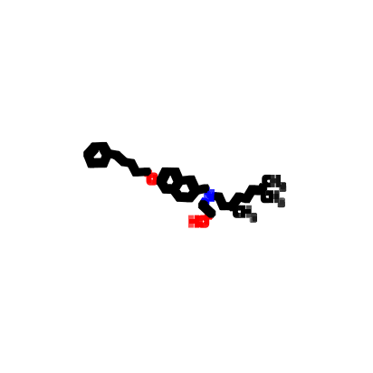 CC(C)=CCCC(C)CCN(CCO)Cc1ccc2cc(OCCCCCc3ccccc3)ccc2c1